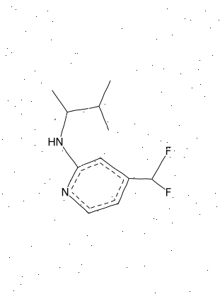 CC(C)C(C)Nc1cc(C(F)F)ccn1